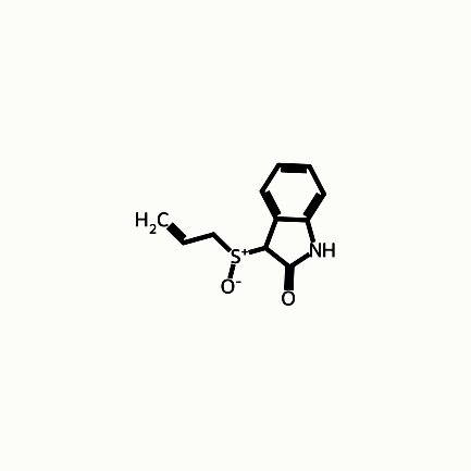 C=CC[S+]([O-])C1C(=O)Nc2ccccc21